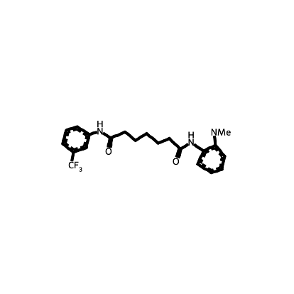 CNc1ccccc1NC(=O)CCCCCC(=O)Nc1cccc(C(F)(F)F)c1